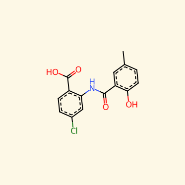 Cc1ccc(O)c(C(=O)Nc2cc(Cl)ccc2C(=O)O)c1